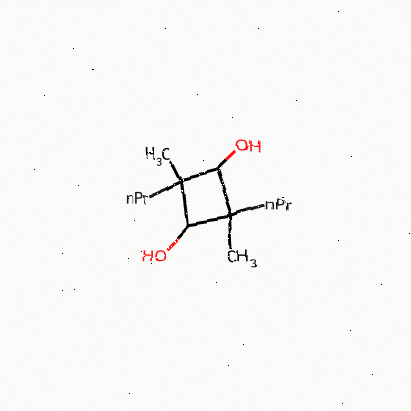 CCCC1(C)C(O)C(C)(CCC)C1O